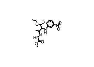 CCOC(=O)C(Nc1cccc([N+](=O)[O-])c1)C(C)=NNC(=O)OC